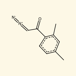 Cc1ccc(C(=O)C=[N+]=[N-])c(C)c1